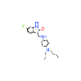 CCCCN(CCC)c1ccc(NC=C2C(=O)Nc3cc(F)ccc32)cc1